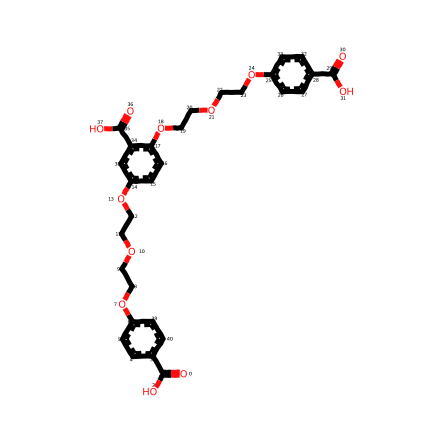 O=C(O)c1ccc(OCCOCCOc2ccc(OCCOCCOc3ccc(C(=O)O)cc3)c(C(=O)O)c2)cc1